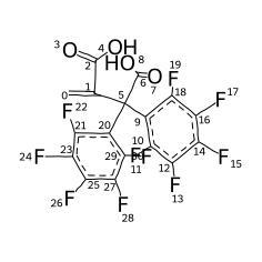 C=C(C(=O)O)C(C(=O)O)(c1c(F)c(F)c(F)c(F)c1F)c1c(F)c(F)c(F)c(F)c1F